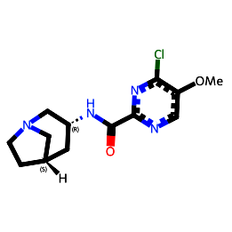 COc1cnc(C(=O)N[C@@H]2C[C@@H]3CCN(C3)C2)nc1Cl